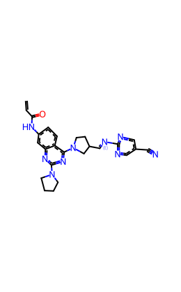 C=CC(=O)Nc1ccc2c(N3CCC(/C=N/c4ncc(C#N)cn4)C3)nc(N3CCCC3)nc2c1